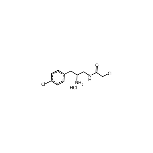 Cl.NC(CNC(=O)CCl)Cc1ccc(Cl)cc1